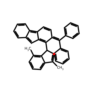 CC1=CC(c2c3c(ccc2=C(c2ccccc2)c2ccccc2)=c2ccccc2=[C]3)c2c(C)cccc21